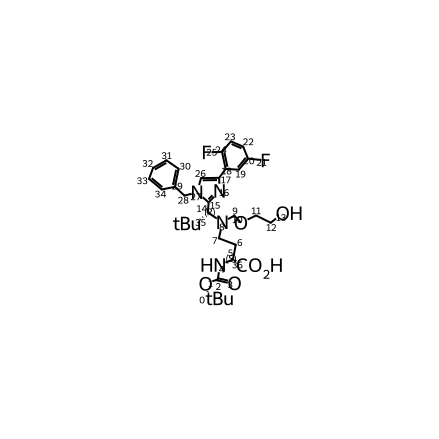 CC(C)(C)OC(=O)N[C@@H](CCN(COCCO)[C@@H](c1nc(-c2cc(F)ccc2F)cn1Cc1ccccc1)C(C)(C)C)C(=O)O